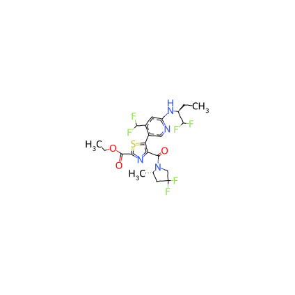 CCOC(=O)c1nc(C(=O)N2CC(F)(F)C[C@@H]2C)c(-c2cnc(N[C@@H](CC)C(F)F)cc2C(F)F)s1